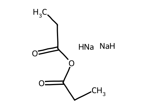 CCC(=O)OC(=O)CC.[NaH].[NaH]